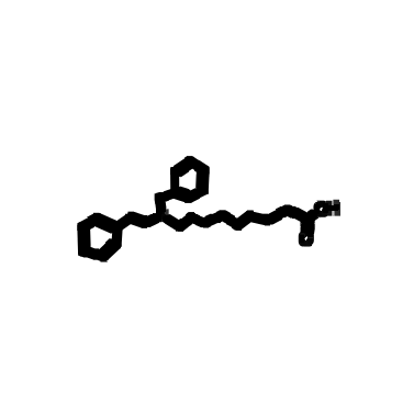 O=C(O)CCCCCCCCN(C=Cc1ccccc1)Cc1ccccc1